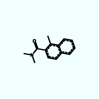 Cc1c(C(=O)N(C)C)ccc2ccccc12